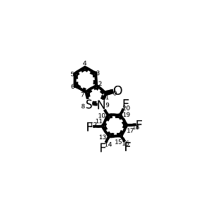 O=c1c2ccccc2sn1-c1c(F)c(F)c(F)c(F)c1F